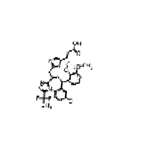 COc1cccc(C2SC(Cc3ncc(CCC(=O)O)s3)c3nnc(C(C)(F)F)n3-c3ccc(Cl)cc32)c1OC